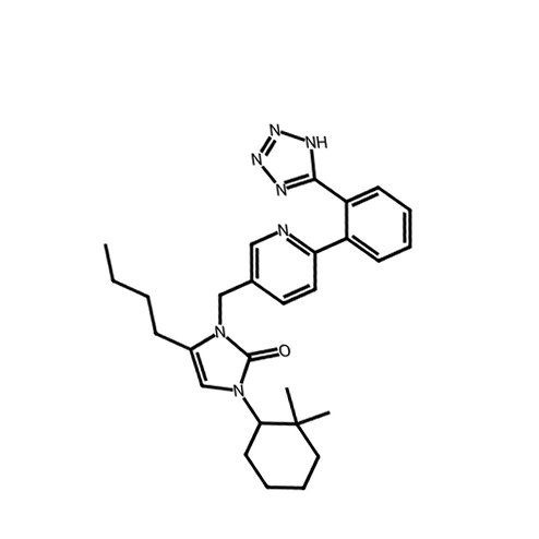 CCCCc1cn(C2CCCCC2(C)C)c(=O)n1Cc1ccc(-c2ccccc2-c2nnn[nH]2)nc1